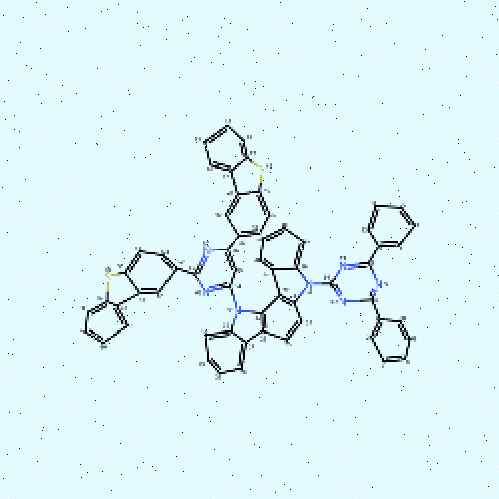 c1ccc(-c2nc(-c3ccccc3)nc(-n3c4ccccc4c4c3ccc3c5ccccc5n(-c5cc(-c6ccc7sc8ccccc8c7c6)nc(-c6ccc7sc8ccccc8c7c6)n5)c34)n2)cc1